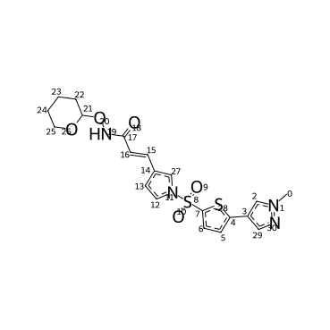 Cn1cc(-c2ccc(S(=O)(=O)n3ccc(/C=C/C(=O)NOC4CCCCO4)c3)s2)cn1